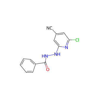 N#Cc1cc(Cl)nc(NNC(=O)c2ccccc2)c1